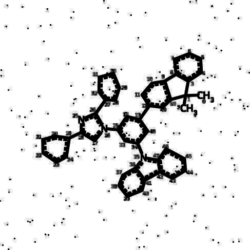 CC1(C)c2ccccc2-c2ccc(-c3cc(-n4cc(-c5ccccc5)nc4-c4ccccc4)cc(-n4c5ccccc5c5ccccc54)c3)cc21